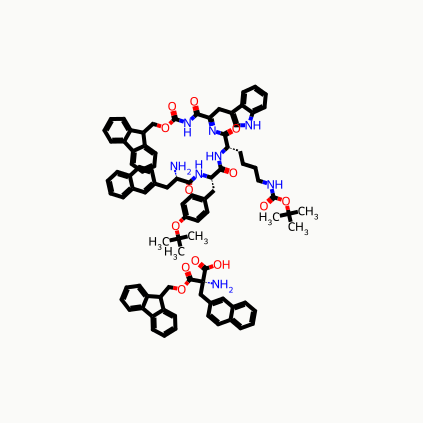 CC(C)(C)OC(=O)NCCCC[C@H](NC(=O)[C@H](Cc1ccc(OC(C)(C)C)cc1)NC(=O)[C@@H](N)Cc1ccc2ccccc2c1)C(=O)N=C(Cc1c[nH]c2ccccc12)C(=O)NC(=O)OCC1c2ccccc2-c2ccccc21.N[C@@](Cc1ccc2ccccc2c1)(C(=O)O)C(=O)OCC1c2ccccc2-c2ccccc21